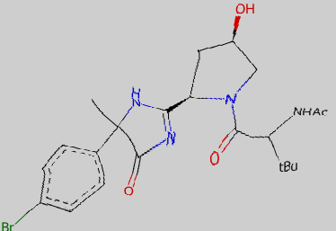 CC(=O)NC(C(=O)N1C[C@H](O)C[C@@H]1C1=NC(=O)C(C)(c2ccc(Br)cc2)N1)C(C)(C)C